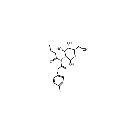 CCCC(=O)N(C(=O)Sc1ccc(C)cc1)[C@H]1C(O)O[C@H](CO)[C@@H](O)[C@@H]1O